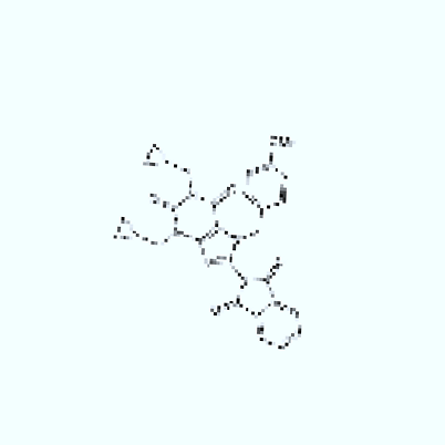 COc1ccc(Cn2c(N3C(=O)c4ccccc4C3=O)nc3c2c(=O)n(CC2CC2)c(=O)n3CC2CC2)cc1